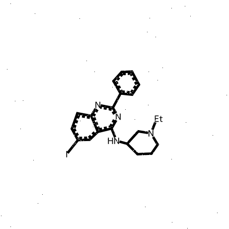 CCN1CCCC(Nc2nc(-c3ccccc3)nc3ccc(I)cc23)C1